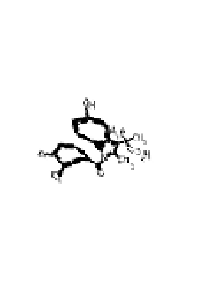 Cc1c(C(C)(C)C(=O)O)c2cc(O)ccc2n1C(=O)c1ccc(Cl)c(Cl)c1